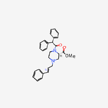 COC(=O)[C@@H]1CN(C/C=C/c2ccccc2)CCN1C(=O)C(c1ccccc1)c1ccccc1